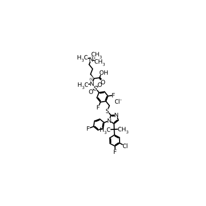 CN([C@@H](CCC[N+](C)(C)C)C(=O)O)S(=O)(=O)c1cc(F)c(CSc2ncc(C(C)(C)c3ccc(F)c(Cl)c3)n2-c2ccc(F)cc2)c(F)c1.[Cl-]